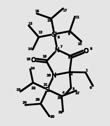 CCC1(CC)C(=O)N([Si](C(C)C)(C(C)C)C(C)C)C(=O)N1[Si](C(C)C)(C(C)C)C(C)C